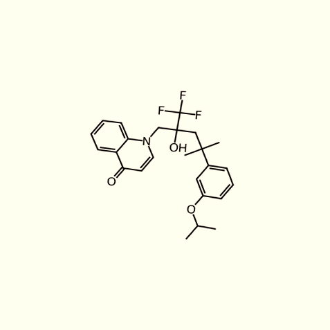 CC(C)Oc1cccc(C(C)(C)CC(O)(Cn2ccc(=O)c3ccccc32)C(F)(F)F)c1